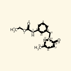 CCOC(=O)Nc1cccc(Cn2nc(C)ccc2=O)c1